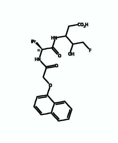 CC(C)[C@H](NC(=O)COc1cccc2ccccc12)C(=O)NC(CC(=O)O)C(O)CF